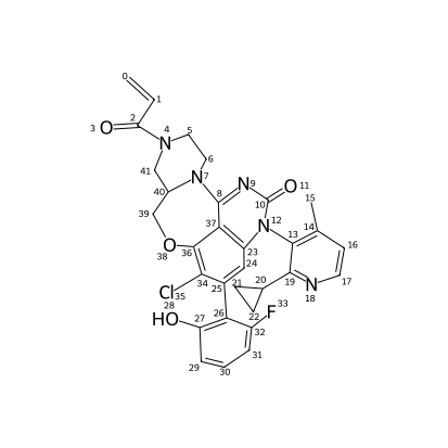 C=CC(=O)N1CCN2c3nc(=O)n(-c4c(C)ccnc4C4CC4)c4cc(-c5c(O)cccc5F)c(Cl)c(c34)OCC2C1